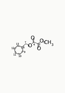 COC(=O)C(=O)OCc1ccccc1